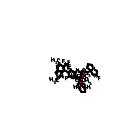 Cc1cc2cn(C)nc2c(-c2c(F)cc3c(N4C[C@H]5CC[C@@H](C4)N5C(=O)OC(C)(C)C)nc(OC[C@@]45CCCN4C[C@H](F)C5)nc3c2F)c1C(F)(F)F